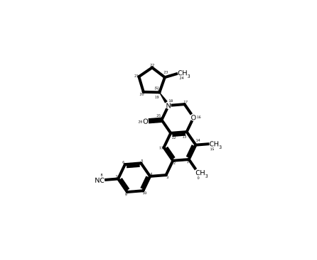 Cc1c(Cc2ccc(C#N)cc2)cc2c(c1C)OCN([C@H]1CCCC1C)C2=O